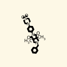 CC12CN(Cc3ccccc3)CC1(C)C(=O)N(c1ccc(N3CCS(=O)(=O)CC3)cc1)C2=O